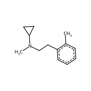 Cc1ccccc1CCN(C)C1CC1